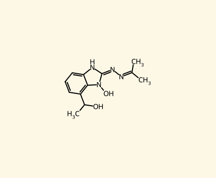 CC(C)=NN=c1[nH]c2cccc(C(C)O)c2n1O